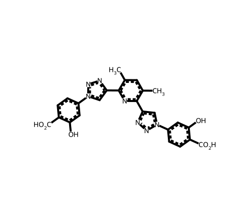 Cc1cc(C)c(-c2cn(-c3ccc(C(=O)O)c(O)c3)nn2)nc1-c1cn(-c2ccc(C(=O)O)c(O)c2)nn1